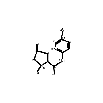 CC1CC(C(C)Nc2ccc(C(F)(F)F)cn2)N(C)C1